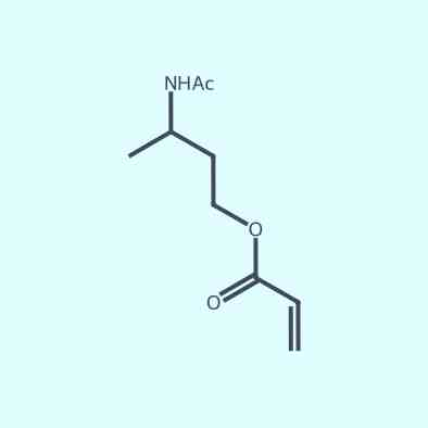 C=CC(=O)OCCC(C)NC(C)=O